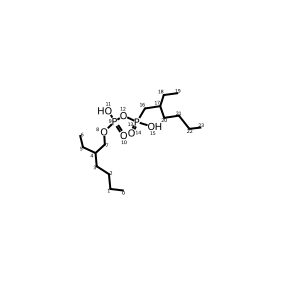 CCCCC(CC)COP(=O)(O)OP(=O)(O)CC(CC)CCCC